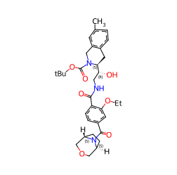 CCOc1cc(C(=O)N2[C@H]3CC[C@H]2COC3)ccc1C(=O)NC[C@@H](O)[C@@H]1Cc2ccc(C)cc2CN1C(=O)OC(C)(C)C